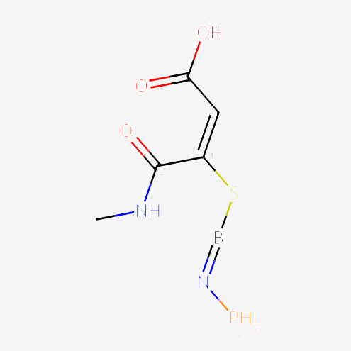 CNC(=O)/C(=C\C(=O)O)S/B=N/P